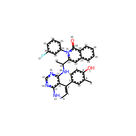 C/C=C(/c1ccc(O)c(C)c1)c1c(N)ncnc1NC(C)c1cc2ccccc2c(=O)n1-c1cccc(F)c1